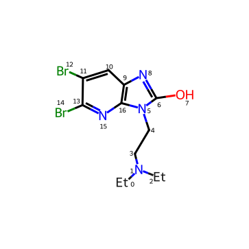 CCN(CC)CCn1c(O)nc2cc(Br)c(Br)nc21